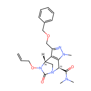 C=CCON1C(=O)N2C[C@H]1c1c(COCc3ccccc3)nn(C)c1[C@H]2C(=O)N(C)C